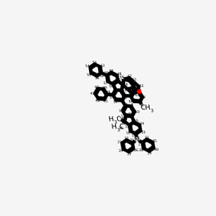 Cc1cccc(-c2c(-c3ccc4c(c3)C(C)(C)c3cc(N(c5ccccc5)c5ccccc5)ccc3-4)cc(-c3ccccc3)c3c2C2(c4ccc(-c5ccccc5)cc4-3)C3CC4CC(C3)CC2C4)c1